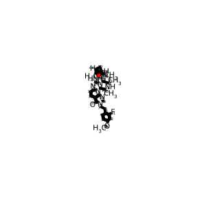 COc1ccc(CCn2cnc3nc(N=C(N[C@H]4C[C@@H]5C[C@@H]([C@H]4C)C5(C)C)N4C[C@@H](C)N[C@@H](C)C4)ccc3c2=O)c(F)c1